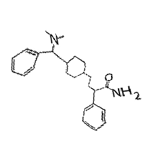 CN(C)C(c1ccccc1)C1CCC(CCC(C(N)=O)c2ccccc2)CC1